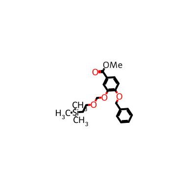 COC(=O)c1ccc(OCc2ccccc2)c(OCOCC[Si](C)(C)C)c1